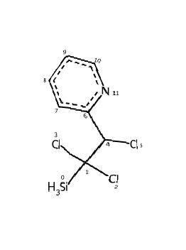 [SiH3]C(Cl)(Cl)C(Cl)c1ccccn1